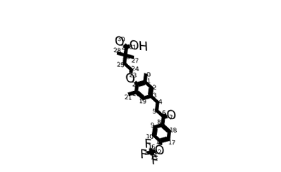 Cc1cc(CCC(=O)c2ccc(OC(F)(F)F)cc2)cc(C)c1OCCC(C)(C)C(=O)O